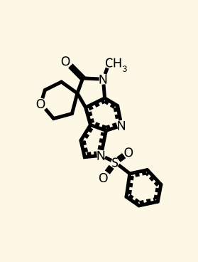 CN1C(=O)C2(CCOCC2)c2c1cnc1c2ccn1S(=O)(=O)c1ccccc1